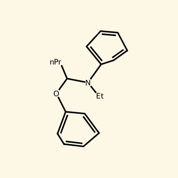 CCCC(Oc1ccccc1)N(CC)c1ccccc1